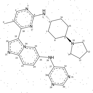 Cc1cnc(N[C@H]2CC[C@H](N3CCCC3)CC2)nc1-c1cnc2ccc(Nc3cncnc3)cn12